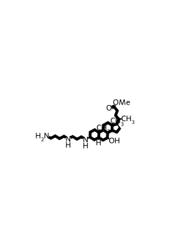 COC(=O)CC[C@@H](C)[C@H]1CCC2C3C(CC[C@@]21C)[C@@]1(C)CC[C@H](NCCCNCCCCN)C[C@@H]1C[C@@H]3O